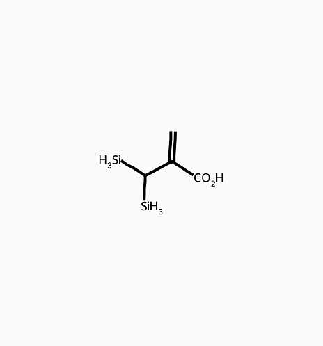 C=C(C(=O)O)C([SiH3])[SiH3]